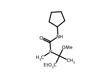 CCOC(=O)C(C)(OC)N(C)C(=O)NC1CCCC1